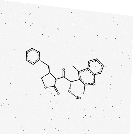 Cc1nc2ccccc2c(I)c1[C@H](OC(C)(C)C)C(=O)N1C(=O)OC[C@H]1Cc1ccccc1